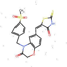 CS(=O)(=O)c1ccc(CN2C(=O)COc3ccc(/C=C4/SC(=S)NC4=O)cc32)cc1